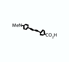 CNc1ccc(C#CC#Cc2ccc(C(=O)O)cc2)cc1